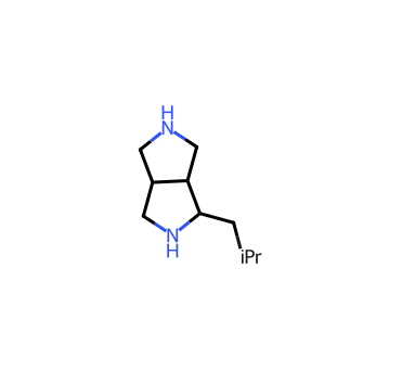 CC(C)CC1NCC2CNCC21